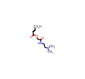 CN(C)CCNC(=O)COC(=O)C=CC(=O)O